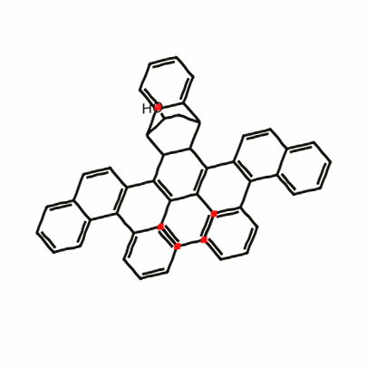 OC1CC2c3ccccc3C1C1C(c3ccc4ccccc4c3-c3ccccc3)=c3ccccc3=C(c3ccc4ccccc4c3-c3ccccc3)C21